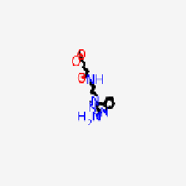 COC(=O)CCCC(=O)NCCCCn1cnc2c(N)nc3ccccc3c21